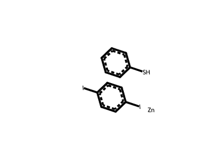 Ic1ccc(I)cc1.Sc1ccccc1.[Zn]